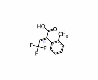 Cc1ccccc1/C(=C\C(F)(F)F)C(=O)O